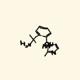 CC(C)(N)c1ccccc1O.Cc1ncc[nH]1